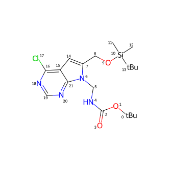 CC(C)(C)OC(=O)NCn1c(CO[Si](C)(C)C(C)(C)C)cc2c(Cl)ncnc21